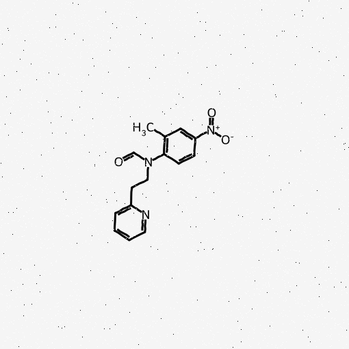 Cc1cc([N+](=O)[O-])ccc1N(C=O)CCc1ccccn1